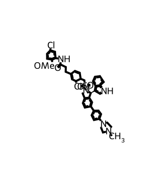 COc1ccc(Cl)cc1NC(=O)CCC1=CC(C)C(CS(=O)(=O)N2Cc3ccc(-c4ccc(N5CCN(C)CC5)cc4)cc3[C@@H]2c2c[nH]c3ccccc23)C=C1